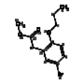 CCCOc1ccc(Br)cc1CC(=O)OC